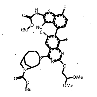 COC(COc1nc(N2CCC3CC(C2)N(C(=O)OC(C)(C)C)C3)c2cc(Cl)c(-c3ccc(F)c4sc(NC(=O)OC(C)(C)C)c(C#N)c34)c(F)c2n1)OC